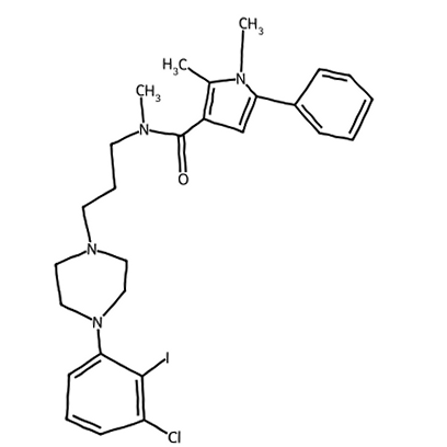 Cc1c(C(=O)N(C)CCCN2CCN(c3cccc(Cl)c3I)CC2)cc(-c2ccccc2)n1C